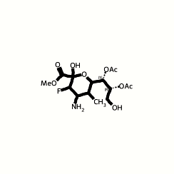 COC(=O)C1(O)OC([C@H](OC(C)=O)[C@@H](CO)OC(C)=O)C(C)C(N)C1F